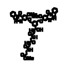 COC(=O)CCNC(=O)CNC(=O)CNC(=O)CNC(O)c1cc(COc2cc3c(cc2OC)C(=O)N2c4ccccc4C[C@H]2C=N3)cc(COc2cc3c(cc2OC)C(=O)N2c4ccccc4C[C@H]2C=N3)c1